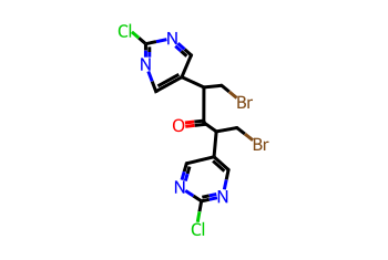 O=C(C(CBr)c1cnc(Cl)nc1)C(CBr)c1cnc(Cl)nc1